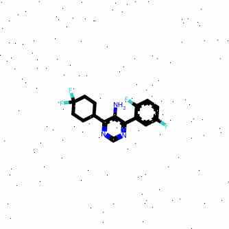 Nc1c(-c2cc(F)ccc2F)ncnc1C1CCC(F)(F)CC1